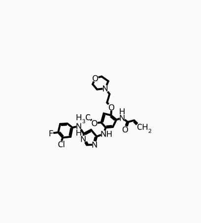 C=CC(=O)Nc1cc(Nc2cc(Nc3ccc(F)c(Cl)c3)ncn2)c(OC)cc1OCCN1CCOCC1